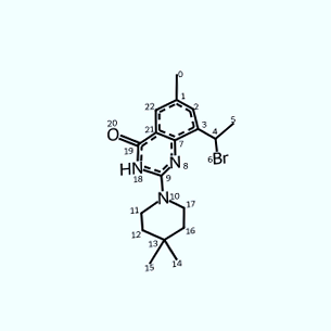 Cc1cc(C(C)Br)c2nc(N3CCC(C)(C)CC3)[nH]c(=O)c2c1